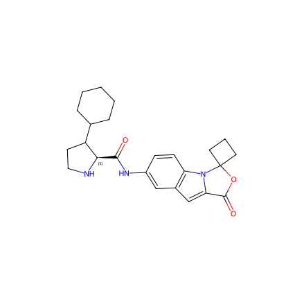 O=C1OC2(CCC2)n2c1cc1cc(NC(=O)[C@H]3NCCC3C3CCCCC3)ccc12